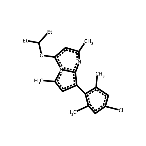 CCC(CC)Oc1cc(C)nc2c(-c3c(C)cc(Cl)cc3C)cc(C)n12